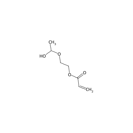 C=CC(=O)OCCOC(C)O